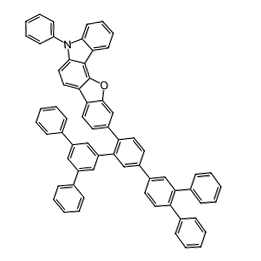 c1ccc(-c2cc(-c3ccccc3)cc(-c3cc(-c4ccc(-c5ccccc5)c(-c5ccccc5)c4)ccc3-c3ccc4c(c3)oc3c4ccc4c3c3ccccc3n4-c3ccccc3)c2)cc1